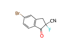 N#CC1(F)Cc2cc(Br)ccc2C1=O